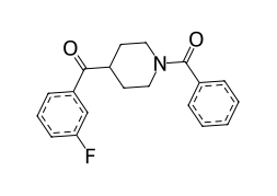 O=C(c1cccc(F)c1)C1CCN(C(=O)c2ccccc2)CC1